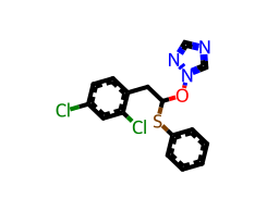 Clc1ccc(CC(On2cncn2)Sc2ccccc2)c(Cl)c1